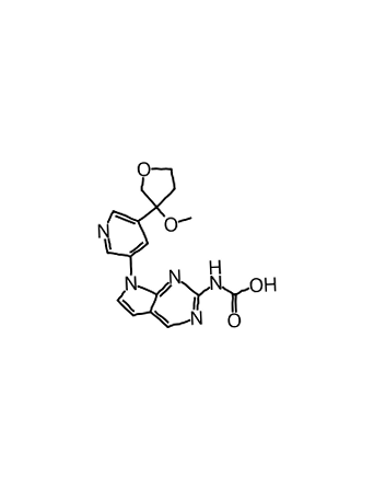 COC1(c2cncc(-n3ccc4cnc(NC(=O)O)nc43)c2)CCOC1